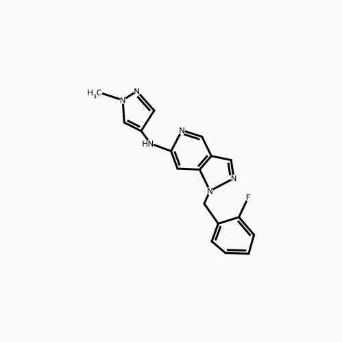 Cn1cc(Nc2cc3c(cn2)cnn3Cc2ccccc2F)cn1